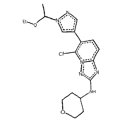 CCOC(C)n1cc(-c2ccc3nc(NC4CCOCC4)nn3c2Cl)cn1